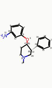 CN1CC[C@@H](Oc2cccc(N)c2)[C@H](c2ccccc2)C1